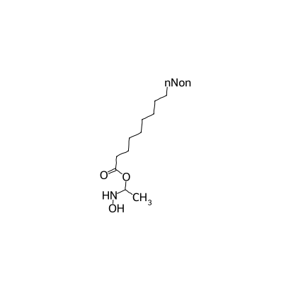 CCCCCCCCCCCCCCCCCC(=O)OC(C)NO